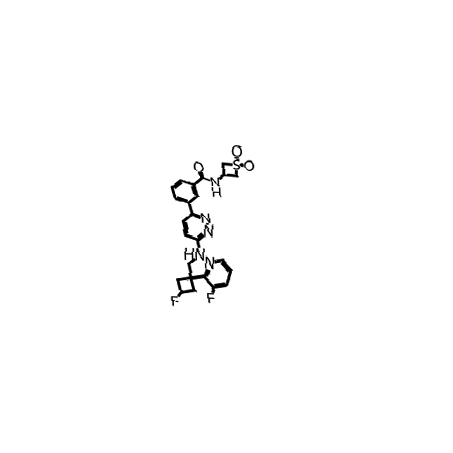 O=C(NC1CS(=O)(=O)C1)c1cccc(-c2ccc(NCC3(c4ncccc4F)CC(F)C3)nn2)c1